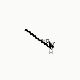 CCCCCCCCCCCCCCC=CCC1NCC[N+]1([O-])CCO